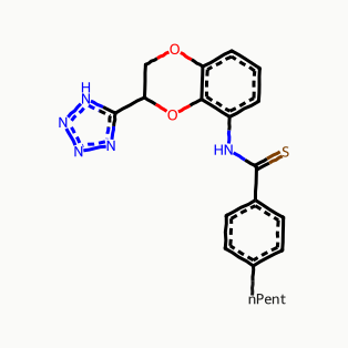 CCCCCc1ccc(C(=S)Nc2cccc3c2OC(c2nnn[nH]2)CO3)cc1